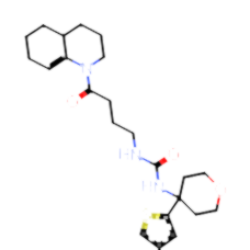 O=C(NCCCC(=O)N1CCCC2CCCC=C21)NC1(c2cccs2)CCOCC1